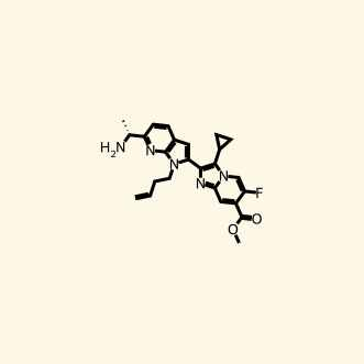 C=CCCn1c(-c2nc3cc(C(=O)OC)c(F)cn3c2C2CC2)cc2ccc([C@@H](C)N)nc21